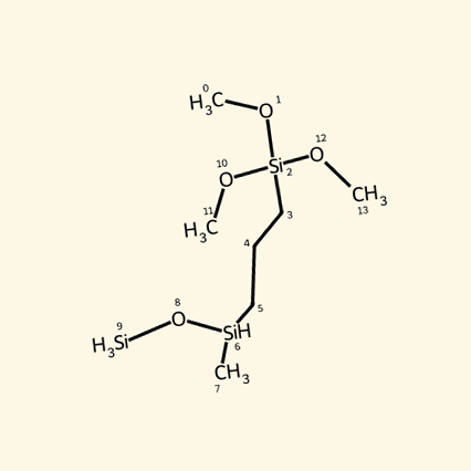 CO[Si](CCC[SiH](C)O[SiH3])(OC)OC